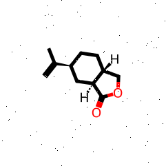 C=C(C)[C@H]1CC[C@@H]2COC(=O)[C@H]2C1